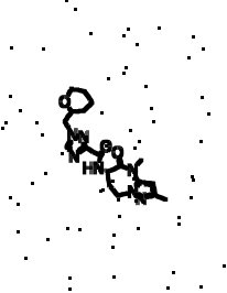 Cc1cc2n(n1)CC[C@H](NC(=O)c1ncn(CC3CCCCO3)n1)C(=O)N2C